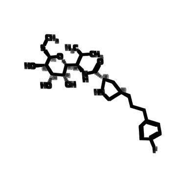 CS[C@H]1O[C@H]([C@H](NC(=O)[C@@H]2C[C@@H](CCCc3ccc(F)cc3)CN2)C(C)C)[C@H](O)[C@H](O)[C@H]1O